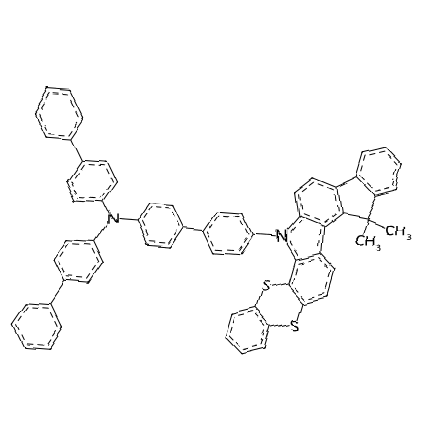 CC1(C)c2ccccc2-c2ccc3c(c21)c1ccc2c(c1n3-c1ccc(-c3ccc(N(c4ccc(-c5ccccc5)cc4)c4ccc(-c5ccccc5)cc4)cc3)cc1)Sc1ccccc1S2